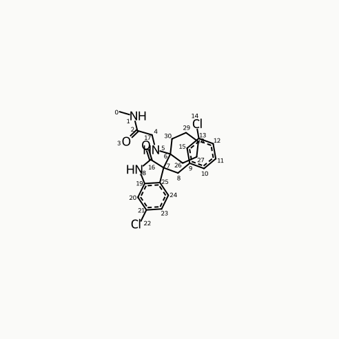 CNC(=O)CNC1(C2(Cc3cccc(Cl)c3)C(=O)Nc3cc(Cl)ccc32)CCCCC1